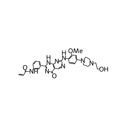 C=CC(=O)Nc1cccc(-c2nc(=O)c3cnc(Nc4ccc(N5CCN(CCO)CC5)cc4OC)nc3[nH]2)c1